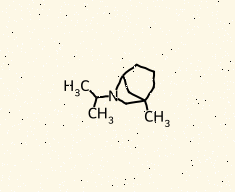 CC(C)N1CC2(C)CCCC1C2